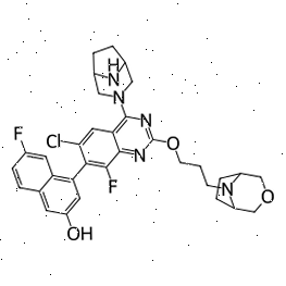 Oc1cc(-c2c(Cl)cc3c(N4CC5CCC(C4)N5)nc(OCCCN4C5CCC4COC5)nc3c2F)c2cc(F)ccc2c1